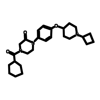 O=C(C1CCCCC1)N1CCN(c2ccc(OC3CCN(C4CCC4)CC3)cc2)C(=O)C1